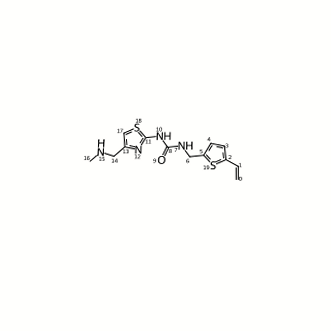 C=Cc1ccc(CNC(=O)Nc2nc(CNC)cs2)s1